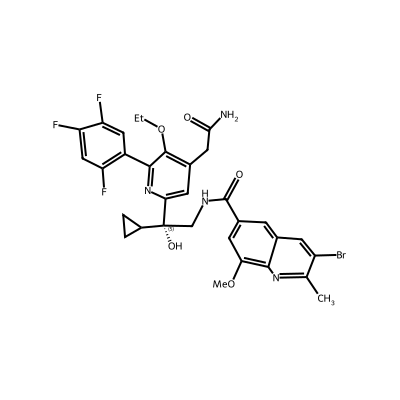 CCOc1c(CC(N)=O)cc([C@@](O)(CNC(=O)c2cc(OC)c3nc(C)c(Br)cc3c2)C2CC2)nc1-c1cc(F)c(F)cc1F